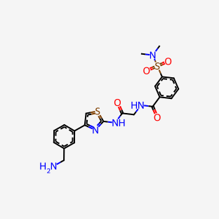 CN(C)S(=O)(=O)c1cccc(C(=O)NCC(=O)Nc2nc(-c3cccc(CN)c3)cs2)c1